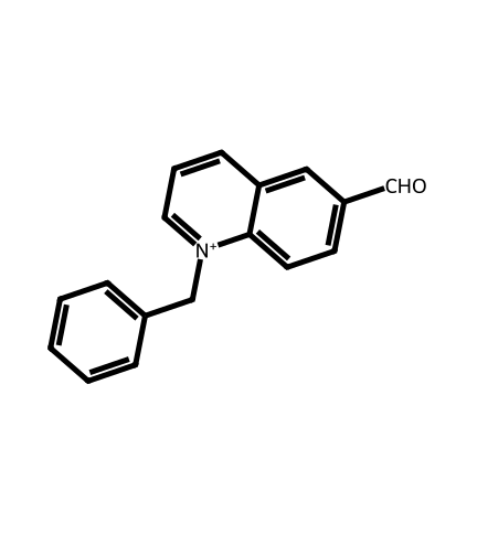 O=Cc1ccc2c(ccc[n+]2Cc2ccccc2)c1